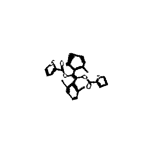 Cc1cccc(C)c1/C(OC(=O)c1cccs1)=C(\OC(=O)c1cccs1)c1c(C)cccc1C